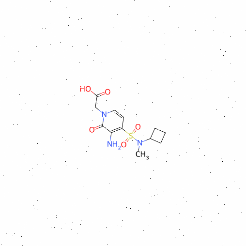 CN(C1CCC1)S(=O)(=O)c1ccn(CC(=O)O)c(=O)c1N